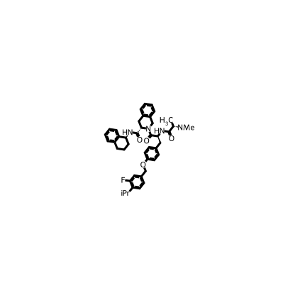 CN[C@@H](C)C(=O)N[C@@H](Cc1ccc(OCc2ccc(C(C)C)c(F)c2)cc1)C(=O)N1Cc2ccccc2C[C@H]1C(=O)N[C@@H]1CCCc2ccccc21